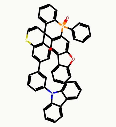 O=P1(c2ccccc2)c2ccccc2C2(c3ccccc3Sc3cc(-c4cccc(-n5c6ccccc6c6ccccc65)c4)ccc32)c2cc3c(cc21)oc1ccccc13